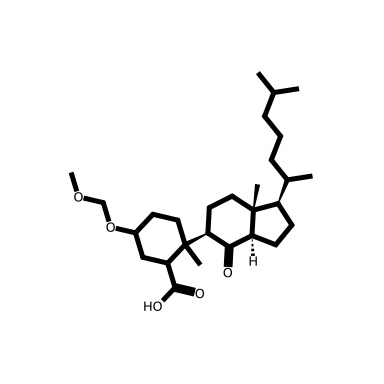 COCOC1CCC(C)([C@H]2CC[C@]3(C)[C@@H](C(C)CCCC(C)C)CC[C@H]3C2=O)C(C(=O)O)C1